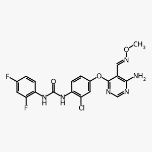 CO/N=C/c1c(N)ncnc1Oc1ccc(NC(=O)Nc2ccc(F)cc2F)c(Cl)c1